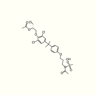 CC(=O)O[C@H](CCl)COc1c(Cl)cc(C(C)(C)c2ccc(OC[C@H](O)CN(C(C)=O)S(C)(=O)=O)cc2)cc1Cl